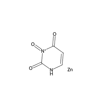 O=C1C=CNC(=O)[N+]1=O.[Zn]